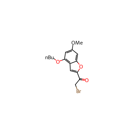 CCCCOc1cc(OC)cc2oc(C(=O)CBr)cc12